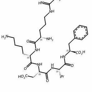 CC(C)[C@H](NC(=O)[C@H](CC(=O)O)NC(=O)[C@H](CCCCN)NC(=O)[C@@H](N)CCCNC(=N)N)C(=O)N[C@@H](Cc1ccccc1)C(=O)O